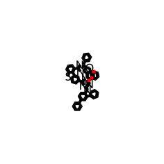 c1ccc(-c2ccc3c(c2)c2ccccc2n3-c2nc(-c3ccccc3)nc(-c3ccc4sc5cccc(-c6nc(-c7ccccc7)c7oc8ccccc8c7n6)c5c4c3)n2)cc1